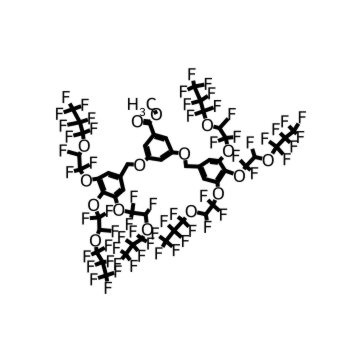 COC(=O)c1cc(OCc2cc(OC(F)(F)C(F)OC(F)(F)C(F)(F)C(F)(F)F)c(OC(F)(F)C(F)OC(F)(F)C(F)(F)C(F)(F)F)c(OC(F)(F)C(F)OC(F)(F)C(F)(F)C(F)(F)F)c2)cc(OCc2cc(OC(F)(F)C(F)OC(F)(F)C(F)(F)C(F)(F)F)c(OC(F)(F)C(F)OC(F)(F)C(F)(F)C(F)(F)F)c(OC(F)(F)C(F)OC(F)(F)C(F)(F)C(F)(F)F)c2)c1